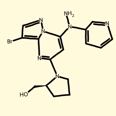 NN(c1cccnc1)c1cc(N2CCC[C@H]2CO)nc2c(Br)cnn12